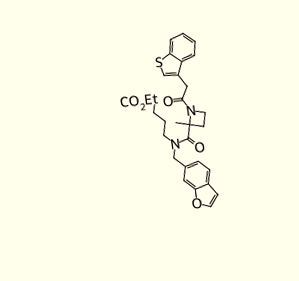 CCOC(=O)CCCN(Cc1ccc2ccoc2c1)C(=O)C1(C)CCN1C(=O)Cc1csc2ccccc12